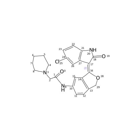 O=C(CN1CCCCC1)Nc1ccc2c(c1)/C(=C1/C(=O)Nc3ccc(Cl)cc31)OC2